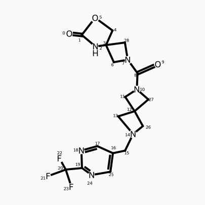 O=C1NC2(CO1)CN(C(=O)N1CC3(CN(Cc4cnc(C(F)(F)F)nc4)C3)C1)C2